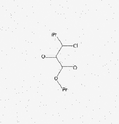 CC(C)OC(=O)C(=O)C(Cl)C(C)C